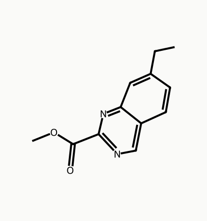 CCc1ccc2cnc(C(=O)OC)nc2c1